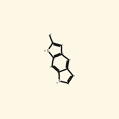 Cc1cc2cc3ccsc3cc2s1